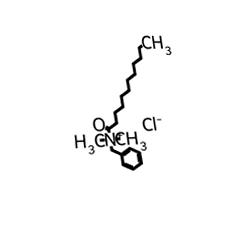 CCCCCCCCCCCC(=O)[N+](C)(C)Cc1ccccc1.[Cl-]